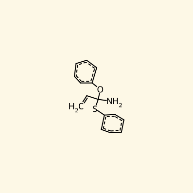 C=CC(N)(Oc1ccccc1)Sc1ccccc1